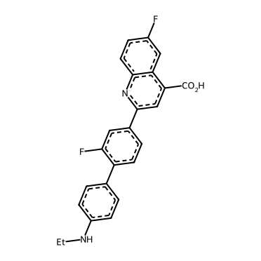 CCNc1ccc(-c2ccc(-c3cc(C(=O)O)c4cc(F)ccc4n3)cc2F)cc1